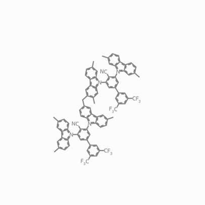 Cc1ccc2c(c1)c1cc(C)ccc1n2-c1cc(-c2cc(C(F)(F)F)cc(C(F)(F)F)c2)cc(-n2c3ccc(C)cc3c3cc(Cc4cc5c6ccc(C)cc6n(-c6cc(-c7cc(C(F)(F)F)cc(C(F)(F)F)c7)cc(-n7c8cc(C)ccc8c8ccc(C)cc87)c6C#N)c5cc4C)ccc32)c1C#N